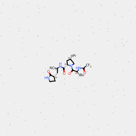 CCC[C@H]1C[C@@H](C(=O)N[C@H](C#N)C[C@@H]2CCNC2=O)N(C(=O)[C@@H](NC(=O)C(F)(F)F)C(C)(C)C)C1